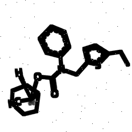 CCc1ccc(CN(C(=O)O[C@H]2CN3CCC2CC3)c2ccccc2)s1